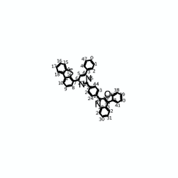 c1ccc(-c2cc(-c3cccc4c3sc3ccccc34)nc(-c3ccc(-c4nc5ccccc5c5c4oc4ccccc45)cc3)n2)cc1